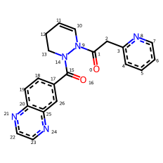 O=C(Cc1ccccn1)N1C=CCCN1C(=O)c1ccc2nccnc2c1